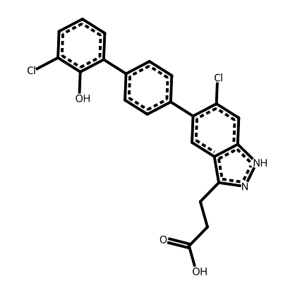 O=C(O)CCc1n[nH]c2cc(Cl)c(-c3ccc(-c4cccc(Cl)c4O)cc3)cc12